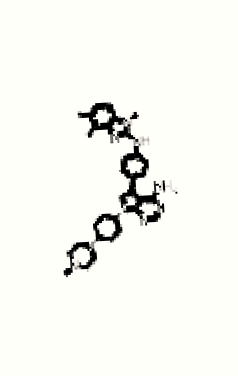 Cc1ccc2c(nc(Nc3ccc(-c4cn([C@H]5CC[C@H](N6CCN(C)CC6)CC5)c5ncnc(N)c45)cc3)n2C)c1C